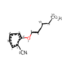 N#Cc1ccccc1OCCCCC(=O)O